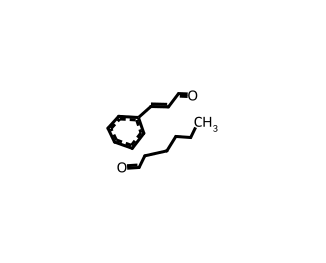 CCCCCC=O.O=C/C=C/c1ccccc1